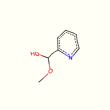 COC(O)c1ccccn1